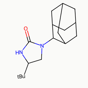 CC(C)(C)C1CN(C2C3CC4CC(C3)CC2C4)C(=O)N1